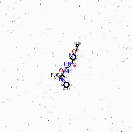 O=C(NCCNC(=O)c1cn(-c2ccccc2)nc1C(F)(F)F)c1ccc(OCC2CC2)nc1